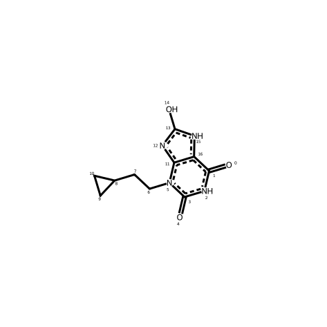 O=c1[nH]c(=O)n(CCC2CC2)c2nc(O)[nH]c12